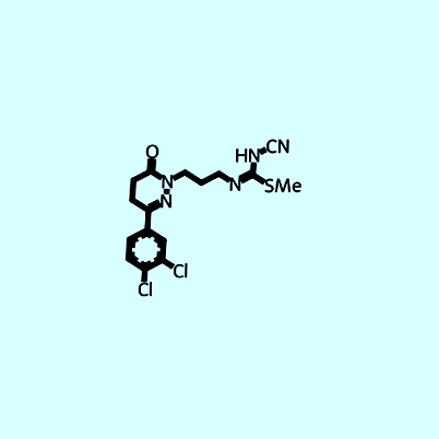 CSC(=NCCCN1N=C(c2ccc(Cl)c(Cl)c2)CCC1=O)NC#N